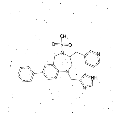 CS(=O)(=O)N1Cc2cc(-c3ccccc3)ccc2N(Cc2c[nH]cn2)CC1Cc1cccnc1